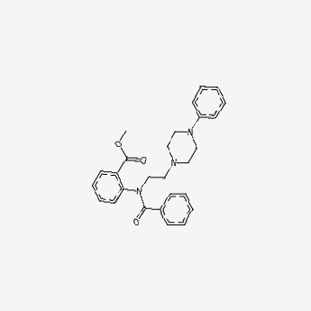 COC(=O)c1ccccc1N(CCN1CCN(c2ccccc2)CC1)C(=O)c1ccccc1